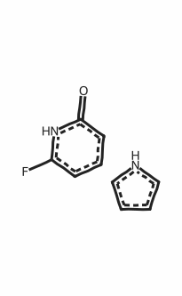 O=c1cccc(F)[nH]1.c1cc[nH]c1